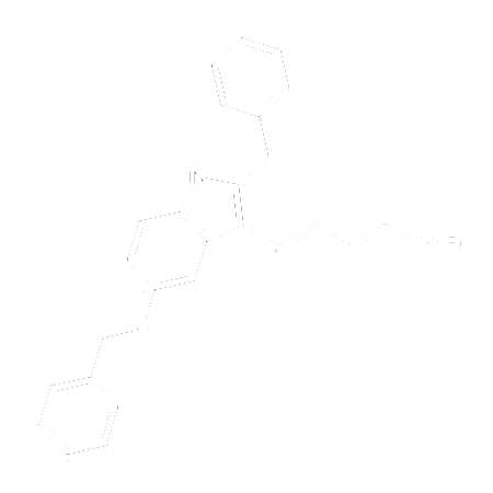 CCOC(=O)C=CC=Cc1c(Cc2ccccc2)[nH]c2ccc(OCc3ccccc3)cc12